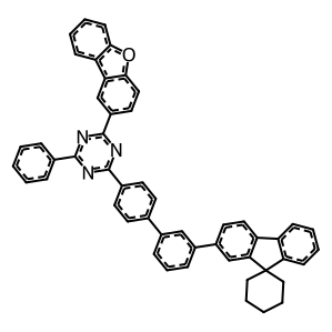 c1ccc(-c2nc(-c3ccc(-c4cccc(-c5ccc6c(c5)C5(CCCCC5)c5ccccc5-6)c4)cc3)nc(-c3ccc4oc5ccccc5c4c3)n2)cc1